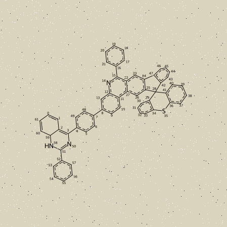 C1=CC2=C(c3ccc(-c4ccc5c(c4)nc(-c4ccccc4)c4cc6c(cc45)C4(c5ccccc5Sc5ccccc54)c4ccccc4-6)cc3)N=C(c3ccccc3)NC2C=C1